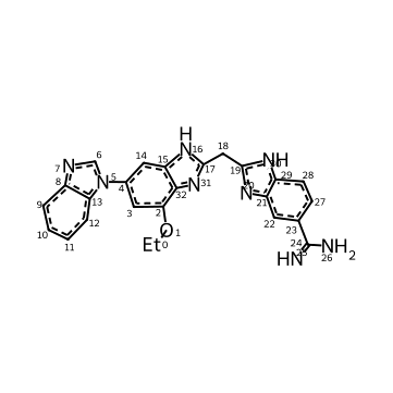 CCOc1cc(-n2cnc3ccccc32)cc2[nH]c(Cc3nc4cc(C(=N)N)ccc4[nH]3)nc12